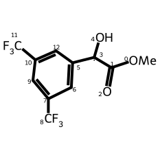 COC(=O)[C](O)c1cc(C(F)(F)F)cc(C(F)(F)F)c1